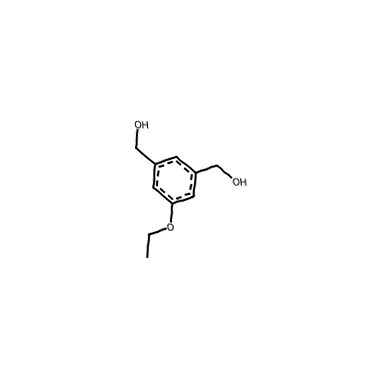 CCOc1cc(CO)cc(CO)c1